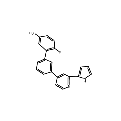 Cc1ccc(F)c(-c2cccc(-c3ccnc(-c4ccc[nH]4)c3)c2)c1